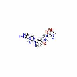 Cc1cc(Nc2nccn3c(-c4c[nH]nc4C(F)(F)F)cnc23)ccc1C(=O)N1CCN(C(=O)[C@@H]2CNCC[C@H]2O)CC1